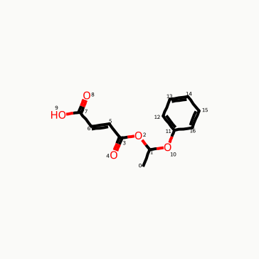 CC(OC(=O)C=CC(=O)O)Oc1ccccc1